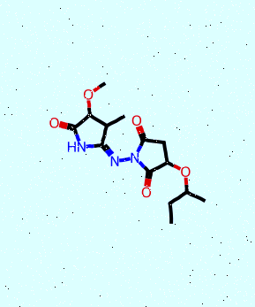 CCC(C)OC1CC(=O)N(/N=C2/NC(=O)C(OC)C2C)C1=O